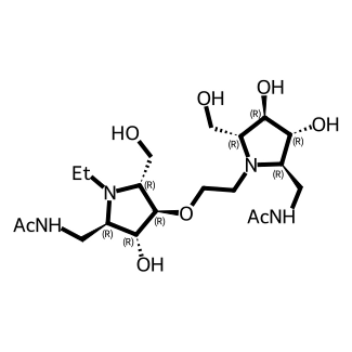 CCN1[C@H](CNC(C)=O)[C@@H](O)[C@H](OCCN2[C@H](CO)[C@@H](O)[C@H](O)[C@H]2CNC(C)=O)[C@H]1CO